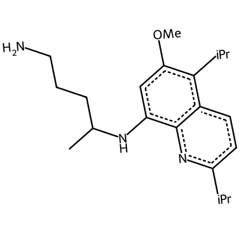 COc1cc(NC(C)CCCN)c2nc(C(C)C)ccc2c1C(C)C